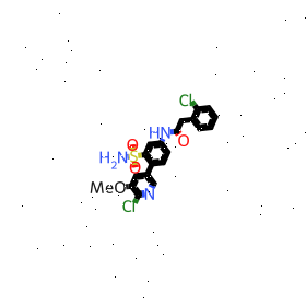 COc1cc(-c2ccc(NC(=O)Cc3ccccc3Cl)cc2S(N)(=O)=O)cnc1Cl